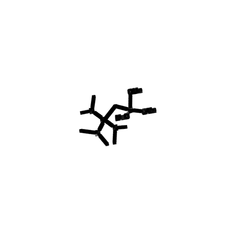 CO[Si](C[Si](N(C)C)(N(C)C)N(C)C)(OC)OC